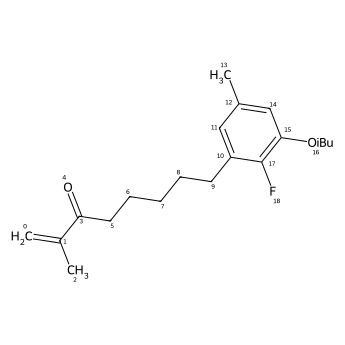 C=C(C)C(=O)CCCCCc1cc(C)cc(OCC(C)C)c1F